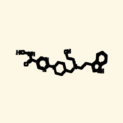 O=C(NO)c1cnc(N2CCC(CN(CCO)CCc3c[nH]c4ccccc34)CC2)nc1